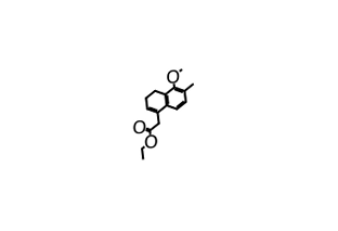 CCOC(=O)CC1=CCCc2c1ccc(C)c2OC